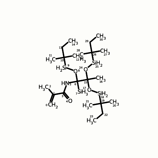 C=C(C)C(=O)NC([SiH3])(O[SiH2]C(C)(C)CC)C(C)(O[SiH2]C(C)(C)CC)O[SiH2]C(C)(C)CC